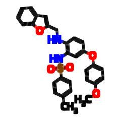 COc1ccc(Oc2ccc(NCc3cc4ccccc4o3)c(NS(=O)(=O)c3ccc(C)cc3)c2)cc1